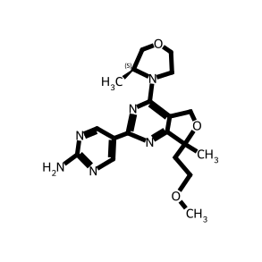 COCCC1(C)OCc2c(N3CCOC[C@@H]3C)nc(-c3cnc(N)nc3)nc21